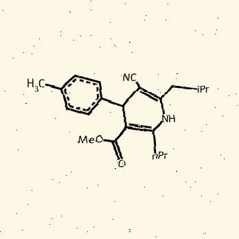 CCCC1=C(C(=O)OC)C(c2ccc(C)cc2)C(C#N)=C(CC(C)C)N1